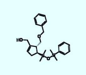 C[Si](C)(O[Si](C)(C)[C@H]1CC=C(CO)[C@@H]1COCc1ccccc1)c1ccccc1